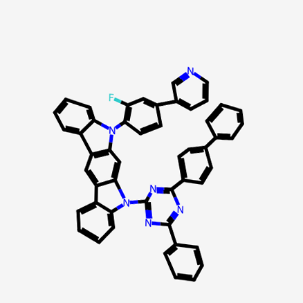 Fc1cc(-c2cccnc2)ccc1-n1c2ccccc2c2cc3c4ccccc4n(-c4nc(-c5ccccc5)nc(-c5ccc(-c6ccccc6)cc5)n4)c3cc21